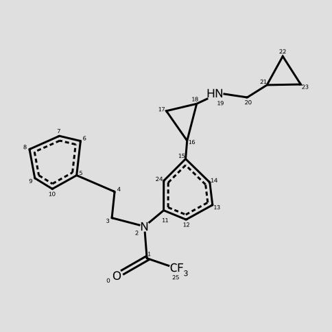 O=C(N(CCc1ccccc1)c1cccc(C2CC2NCC2CC2)c1)C(F)(F)F